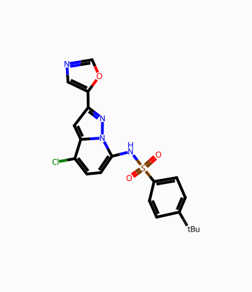 CC(C)(C)c1ccc(S(=O)(=O)Nc2ccc(Cl)c3cc(-c4cnco4)nn23)cc1